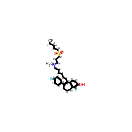 CN(CCCCCCC1=C(c2ccc(F)cc2)CCCc2c1ccc(O)c2F)CCCS(=O)(=O)CCCCC(F)(F)F